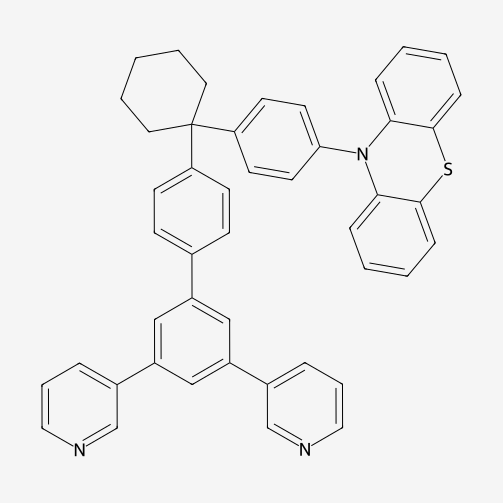 c1cncc(-c2cc(-c3ccc(C4(c5ccc(N6c7ccccc7Sc7ccccc76)cc5)CCCCC4)cc3)cc(-c3cccnc3)c2)c1